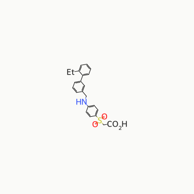 CCc1ccccc1-c1cccc(CNc2ccc(S(=O)(=O)CC(=O)O)cc2)c1